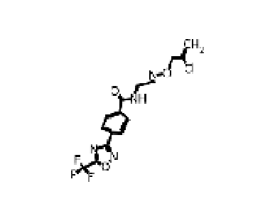 C=C(Cl)CON=CCNC(=O)c1ccc(-c2noc(C(F)(F)F)n2)cc1